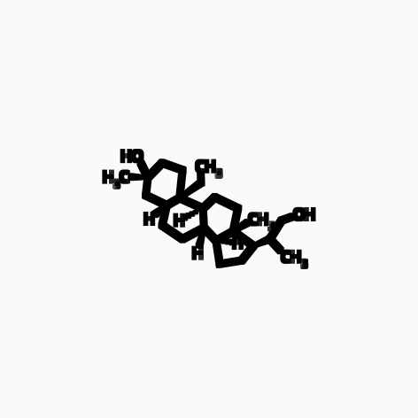 CC[C@]12CC[C@@](C)(O)C[C@H]1CC[C@H]1[C@@H]3CC[C@H](C(C)CO)[C@@]3(C)CC[C@@H]12